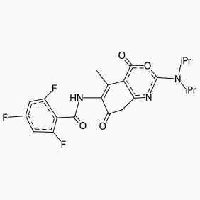 CC1=C(NC(=O)c2c(F)cc(F)cc2F)C(=O)Cc2nc(N(C(C)C)C(C)C)oc(=O)c21